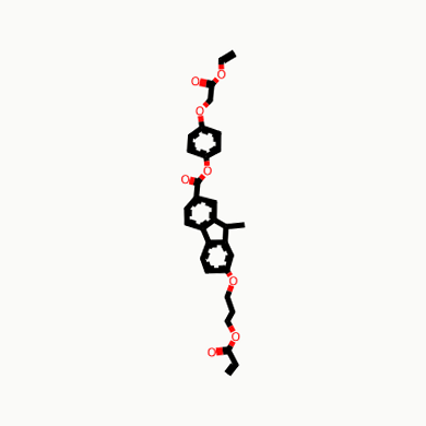 C=COC(=O)COc1ccc(OC(=O)c2ccc3c(c2)C(C)c2cc(OCCCOC(=O)C=C)ccc2-3)cc1